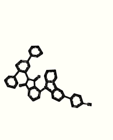 N#Cc1ccc(-c2ccc3c(c2)c2ccccc2n3-c2cccc3c2C(=O)N(c2cc(-c4ccccc4)ccc2-c2ccccc2)C3=O)cc1